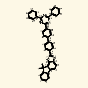 CC1(C)c2ccccc2-c2ccc3nc(-c4ccc(-c5ccc(-c6nc(-c7ccccc7)nc(-c7ccccc7)n6)cc5)cc4)oc3c21